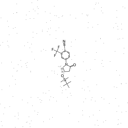 C[C@H]1[C@@H](O[Si](C)(C)C(C)(C)C)CC(=O)N1c1ccc(C#N)c(C(F)(F)F)c1